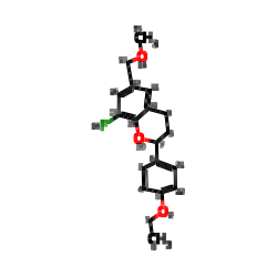 CCOc1ccc(C2CCc3cc(COC)cc(F)c3O2)cc1